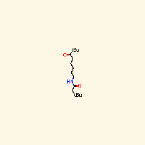 CC(C)(C)CC(=O)NCCCCCC(=O)C(C)(C)C